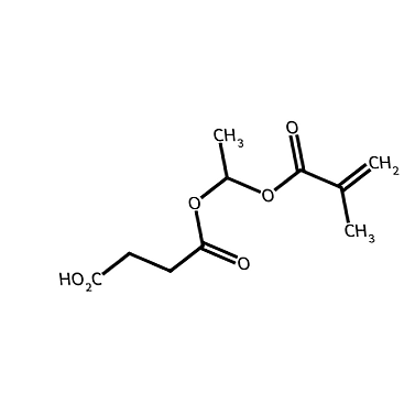 C=C(C)C(=O)OC(C)OC(=O)CCC(=O)O